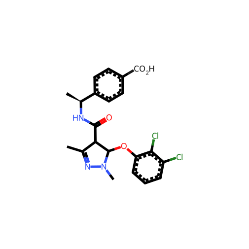 CC1=NN(C)C(Oc2cccc(Cl)c2Cl)C1C(=O)N[C@@H](C)c1ccc(C(=O)O)cc1